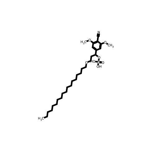 CCCCCCCCCCCCCCCCCCOCCC(OP(=O)(O)O)c1cc(OC)c(C#N)c(OC)c1